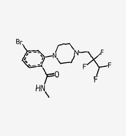 CNC(=O)c1ccc(Br)cc1N1CCN(CC(F)(F)C(F)F)CC1